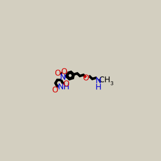 CNCCCOCCCc1ccc2c(c1)oc(=O)n2C1CCC(=O)NC1=O